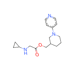 O=C(CNC1CC1)OCC1CCCN(c2ccncc2)C1